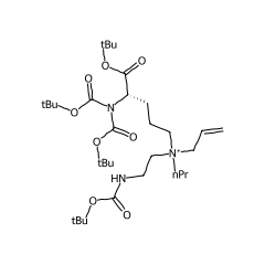 C=CC[N+](CCC)(CCC[C@@H](C(=O)OC(C)(C)C)N(C(=O)OC(C)(C)C)C(=O)OC(C)(C)C)CCNC(=O)OC(C)(C)C